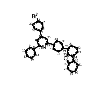 Brc1ccc(-c2cc(-c3ccccc3)nc(-c3ccc(-c4cccc5c4oc4ccccc45)cc3)c2)cc1